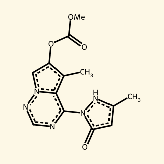 COC(=O)Oc1cn2ncnc(-n3[nH]c(C)cc3=O)c2c1C